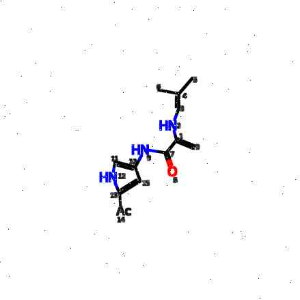 C=C(NC=C(C)C)C(=O)Nc1c[nH]c(C(C)=O)c1